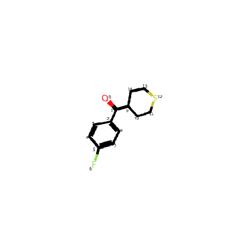 O=C(c1ccc(F)cc1)C1CCSCC1